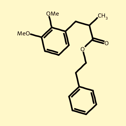 COc1cccc(CC(C)C(=O)OCCc2ccccc2)c1OC